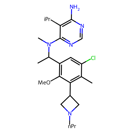 CCCN1CC(c2c(C)c(Cl)cc(C(C)N(C)c3ncnc(N)c3C(C)C)c2OC)C1